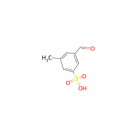 Cc1cc(C=O)cc(S(=O)(=O)O)c1